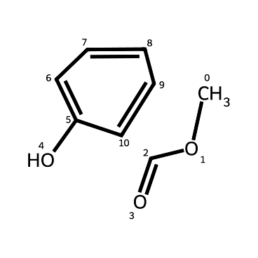 COC=O.Oc1ccccc1